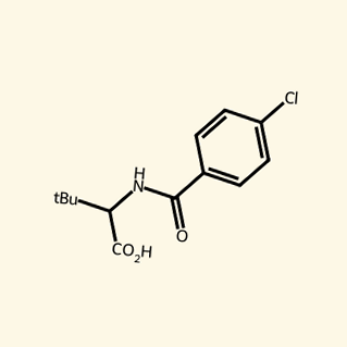 CC(C)(C)C(NC(=O)c1ccc(Cl)cc1)C(=O)O